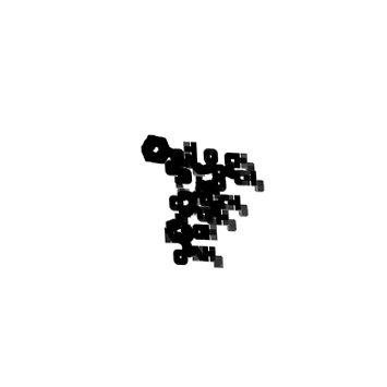 CC(C)OC(=O)C[C@H](NP(=O)(OC[C@H]1O[C@@H](n2cnc(C(N)=O)c2O)[C@H](O)[C@@H]1O)Oc1ccccc1)C(=O)OC(C)C